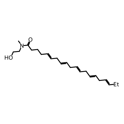 CCC=CCC=CCC=CCC=CCC=CCCCC(=O)N(C)CCO